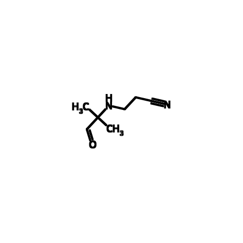 CC(C)(C=O)NCCC#N